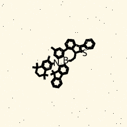 Cc1cc2c3c(c1)N(c1cc4c(cc1C)C(C)(C)CCC4(C)C)c1c(ccc4c1C(C)(C)c1ccccc1-4)B3CCC1c3sc4ccccc4c3-c3cccc-2c31